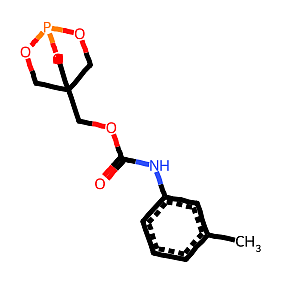 Cc1cccc(NC(=O)OCC23COP(OC2)OC3)c1